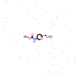 CC(C)(C)OC(=O)N[C@H]1CC[C@H](CC=O)OC1